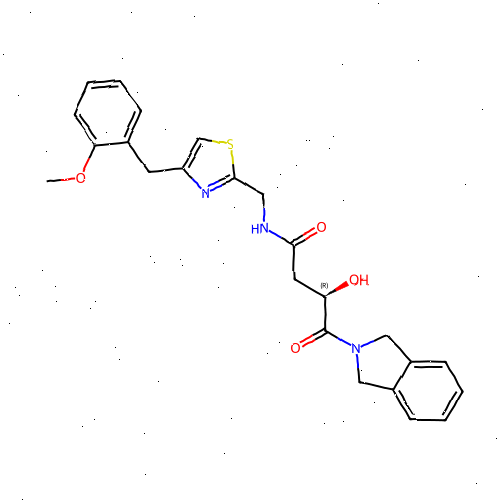 COc1ccccc1Cc1csc(CNC(=O)C[C@@H](O)C(=O)N2Cc3ccccc3C2)n1